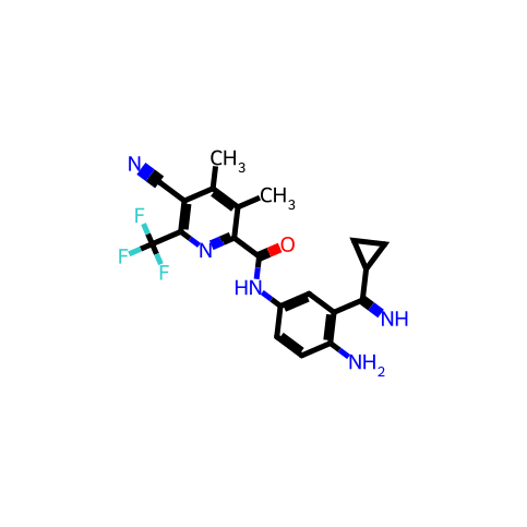 Cc1c(C(=O)Nc2ccc(N)c(C(=N)C3CC3)c2)nc(C(F)(F)F)c(C#N)c1C